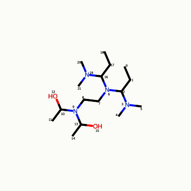 CCC(N(C)C)N(CCN(C(C)O)C(C)O)C(CC)N(C)C